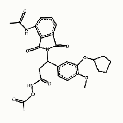 COc1ccc(C(CC(=O)NOC(C)=O)N2C(=O)c3cccc(NC(C)=O)c3C2=O)cc1OC1CCCC1